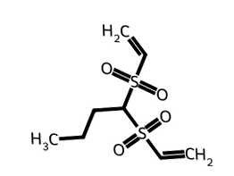 C=CS(=O)(=O)C(CCC)S(=O)(=O)C=C